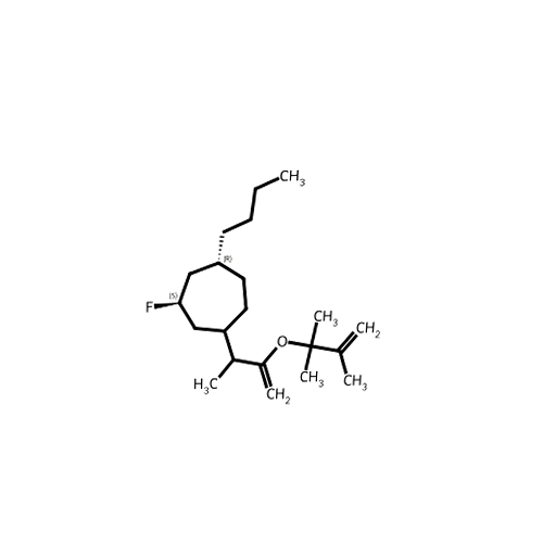 C=C(OC(C)(C)C(=C)C)C(C)C1CC[C@@H](CCCC)C[C@H](F)C1